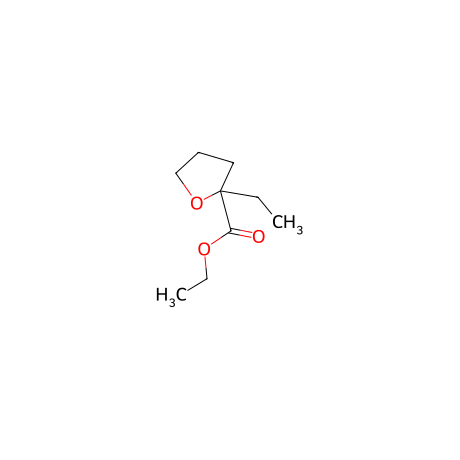 CCOC(=O)C1(CC)CCCO1